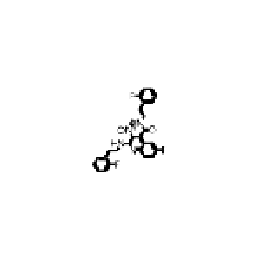 O=C(NCCc1ccccc1F)c1c([N+](=O)[O-])c(NCCc2ccccc2F)nc2ccc(F)cc12